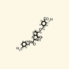 Cc1cccc(CNC(=O)c2nc3scc(COCc4ccc(C(=O)O)cc4)c3c(=O)[nH]2)c1